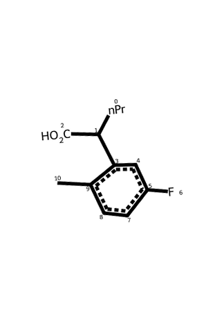 CCCC(C(=O)O)c1cc(F)ccc1C